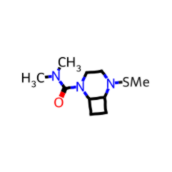 CSN1CCN(C(=O)N(C)C)C2CCC21